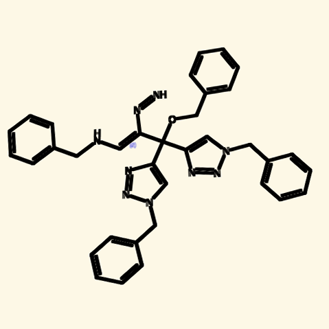 N=N/C(=C\NCc1ccccc1)C(OCc1ccccc1)(c1cn(Cc2ccccc2)nn1)c1cn(Cc2ccccc2)nn1